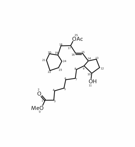 COC(=O)CCCCCCC1C(O)CCC1C=CC(CC1CCCCC1)OC(C)=O